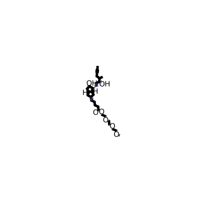 CC#CCC(C)[C@H](O)/C=C/[C@@H]1[C@H]2C/C(=C\CCCC(=O)OCCOCCOCCOC)C[C@H]2C[C@H]1O